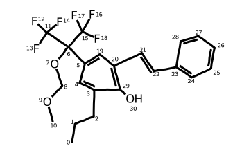 CCCc1cc(C(OCOC)(C(F)(F)F)C(F)(F)F)cc(/C=C/c2ccccc2)c1O